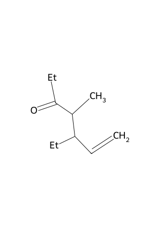 C=CC(CC)C(C)C(=O)CC